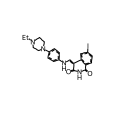 CCN1CCN(c2ccc(N/C=C3\C(=O)NC(=O)c4ccc(I)cc43)cc2)CC1